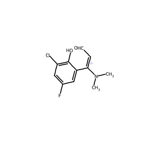 CN(C)/C(=C/C=O)c1cc(F)cc(Cl)c1O